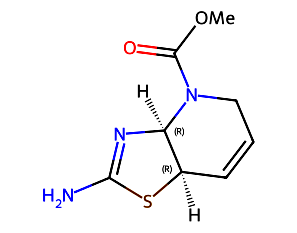 COC(=O)N1CC=C[C@H]2SC(N)=N[C@H]21